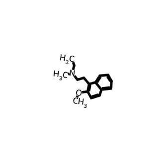 CCN(C)CCc1c(OC)ccc2ccccc12